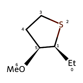 CC[C@@H]1SCC[C@@H]1OC